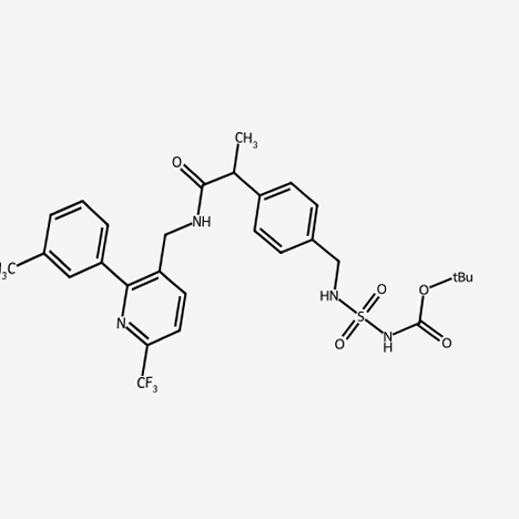 Cc1cccc(-c2nc(C(F)(F)F)ccc2CNC(=O)C(C)c2ccc(CNS(=O)(=O)NC(=O)OC(C)(C)C)cc2)c1